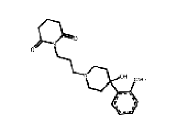 COc1ccccc1C1(O)CCN(CCCN2C(=O)CCCC2=O)CC1